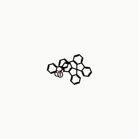 Clc1cccc(-c2cccc3c2C2(c4ccccc4-3)c3ccccc3-c3c2ccc2c3oc3ccccc32)c1